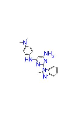 Cc1nc2ccccc2n1-c1nc(N)cc(Nc2ccc(N(C)C)cc2)n1